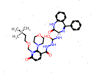 C[Si](C)(C)CCOCn1c(N2CCOCC2)c(C(=O)NNC(O)N[C@H]2N=C(c3ccccc3)c3ccccc3NC2=O)ccc1=O